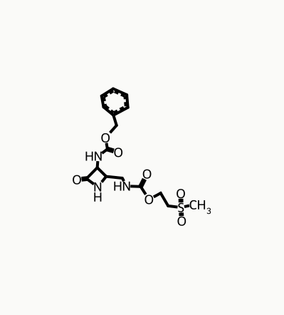 CS(=O)(=O)CCOC(=O)NCC1NC(=O)C1NC(=O)OCc1ccccc1